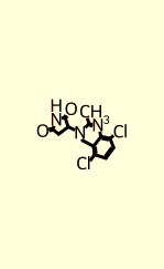 CC1=Nc2c(Cl)ccc(Cl)c2CN1C1CC(=O)NC1=O